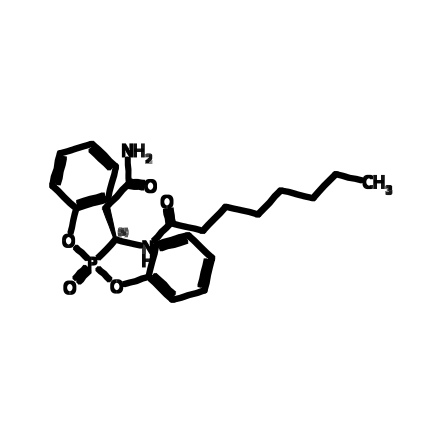 CCCCCCCC(=O)N[C@H](CC(N)=O)P(=O)(Oc1ccccc1)Oc1ccccc1